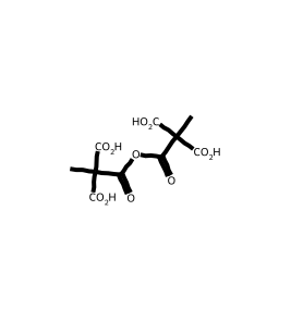 CC(C(=O)O)(C(=O)O)C(=O)OC(=O)C(C)(C(=O)O)C(=O)O